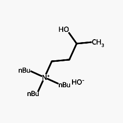 CCCC[N+](CCCC)(CCCC)CCC(C)O.[OH-]